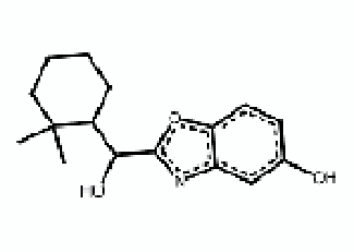 CC1(C)CCCCC1C(O)c1nc2cc(O)ccc2o1